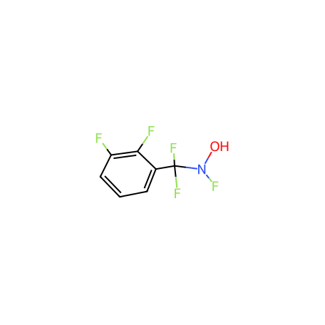 ON(F)C(F)(F)c1cccc(F)c1F